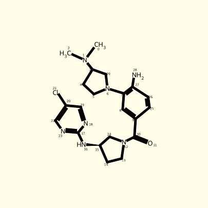 CN(C)C1CCN(c2cc(C(=O)N3CC[C@@H](Nc4ncc(Cl)cn4)C3)ccc2N)C1